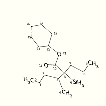 CCCC(C)C([SiH3])(CCC)C(=O)OC1CCCCC1